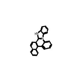 c1ccc2c(c1)NC1c3ccc4ccccc4c3-c3ccccc3N21